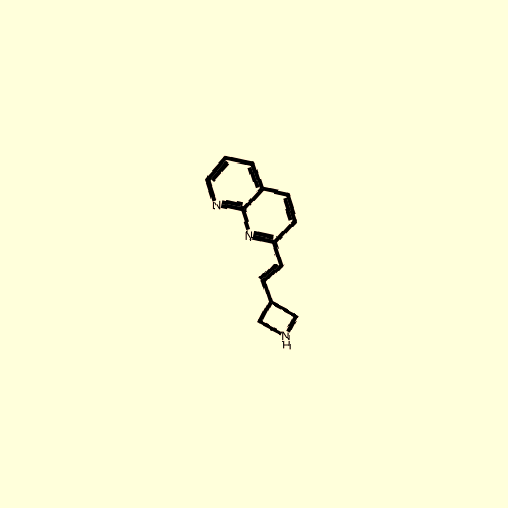 C(=CC1CNC1)c1ccc2cccnc2n1